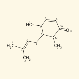 CC(C)=CCC1C(O)C=CC(=O)C1C